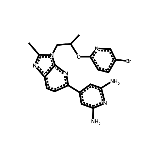 Cc1nc2ccc(-c3cc(N)nc(N)c3)nc2n1CC(C)Oc1ccc(Br)cn1